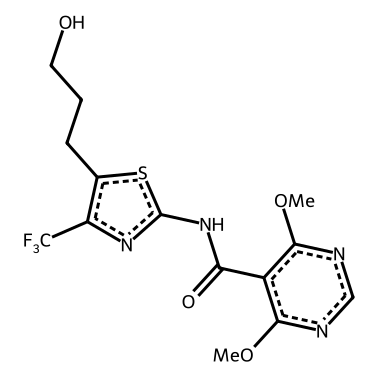 COc1ncnc(OC)c1C(=O)Nc1nc(C(F)(F)F)c(CCCO)s1